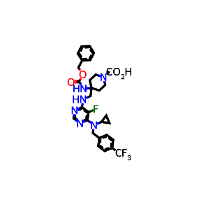 O=C(NC1(CNc2ncnc(N(Cc3ccc(C(F)(F)F)cc3)C3CC3)c2F)CCN(C(=O)O)CC1)OCc1ccccc1